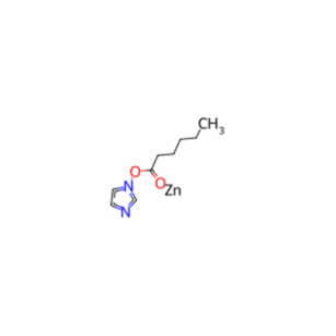 CCCCCC(=O)On1ccnc1.[Zn]